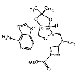 COC(=O)C1CC(N(C)C[C@H]2OC[C@@]3(n4cnc5c(N)ncnc54)OC(C)(C)O[C@H]23)C1